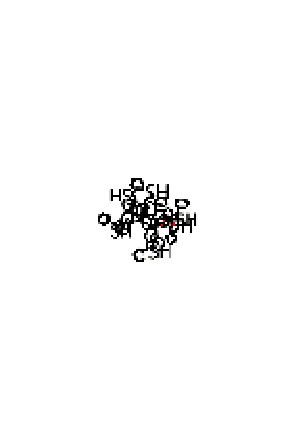 O=C(CC(S)c1ccccc1)OCC(COCC(COC(=O)CC(S)c1ccccc1)(COC(=O)CC(S)c1ccccc1)COC(=O)CC(S)c1ccccc1)(COC(=O)CC(S)c1ccccc1)COC(=O)CC(S)c1ccccc1